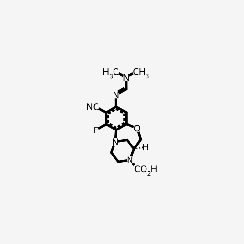 CN(C)C=Nc1cc2c(c(F)c1C#N)N1CCN(C(=O)O)[C@H](CO2)C1